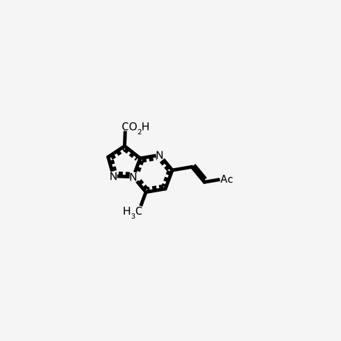 CC(=O)C=Cc1cc(C)n2ncc(C(=O)O)c2n1